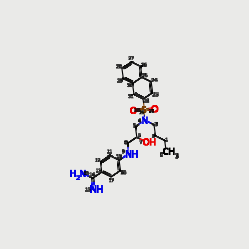 CCCCN(CC(O)CNc1ccc(C(=N)N)cc1)S(=O)(=O)c1ccc2ccccc2c1